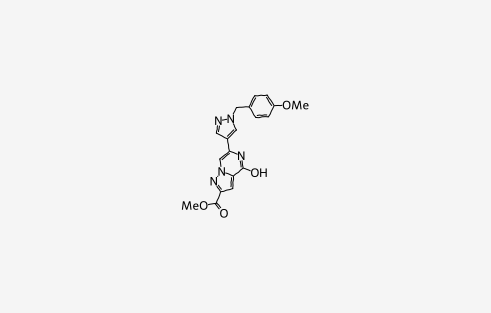 COC(=O)c1cc2c(O)nc(-c3cnn(Cc4ccc(OC)cc4)c3)cn2n1